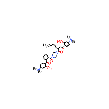 C=C/C=C\C=C(/CC(=O)c1ccc(N(CC)CC)cc1O)C(=O)N1CCN(C(=O)c2ccccc2C(=O)c2ccc(N(CC)CC)cc2O)CC1